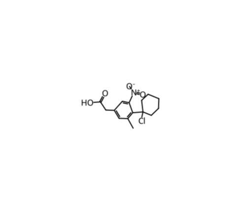 Cc1cc(CC(=O)O)cc([N+](=O)[O-])c1C1(Cl)CCCCC1